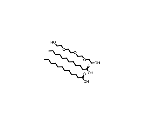 CCCCCCCCCCCC(=O)O.CCCCCCCCCCCC(=O)O.OCCOCCOCCOCCO